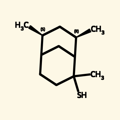 C[C@@H]1C[C@H](C)C2CCC(C)(S)C1C2